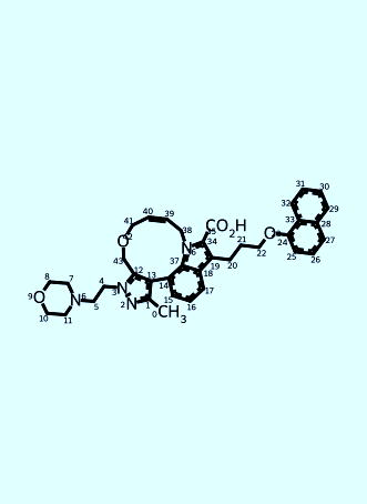 Cc1nn(CCN2CCOCC2)c2c1-c1cccc3c(CCCOc4cccc5ccccc45)c(C(=O)O)n(c13)C/C=C\COC2